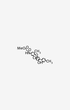 COC(=O)CC(=O)Nc1cc(C)c(Oc2ccc(O)c(-c3ccc(C)cc3)c2)c(C)c1